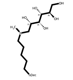 CCCCCCCCCCCCCCCN(C)C[C@H](O)[C@@H](O)[C@H](O)[C@H](O)CO